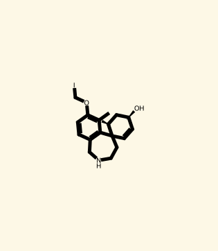 Cc1c(OCI)ccc2c1C1(C=C[C@H](O)C[C@@H]1C)CCNC2